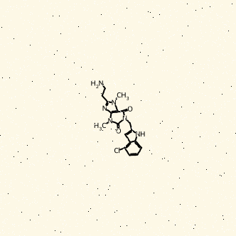 Cn1c(CCN)nc2c1c(=O)n(Cc1cc3c(Cl)cccc3[nH]1)c(=O)n2C